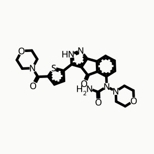 NC(=O)N(c1cccc2c1C(=O)c1c-2n[nH]c1-c1ccc(C(=O)N2CCOCC2)s1)N1CCOCC1